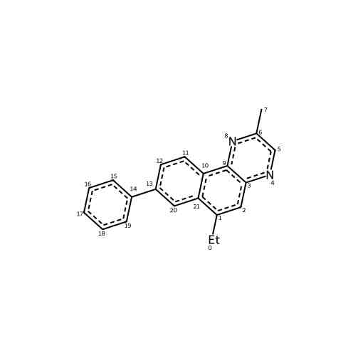 CCc1cc2ncc(C)nc2c2ccc(-c3ccccc3)cc12